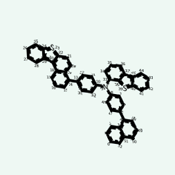 c1ccc2c(-c3ccc(N(c4ccc(-c5cccc6c5ccc5sc7ccccc7c56)cc4)c4cccc5c4sc4ccccc45)cc3)cccc2c1